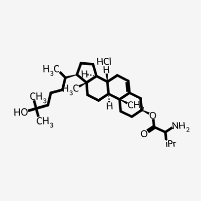 CC(C)C(N)C(=O)O[C@H]1CC[C@@]2(C)C(=CC[C@H]3[C@@H]4CC[C@H](C(C)CCCC(C)(C)O)[C@@]4(C)CC[C@@H]32)C1.Cl